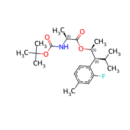 Cc1ccc([C@H](C(C)C)[C@H](C)OC(=O)[C@H](C)NC(=O)OC(C)(C)C)c(F)c1